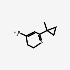 BC1=CC(C2(C)CC2)=NCC1